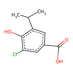 CC(C)c1cc(C(=O)O)cc(Cl)c1O